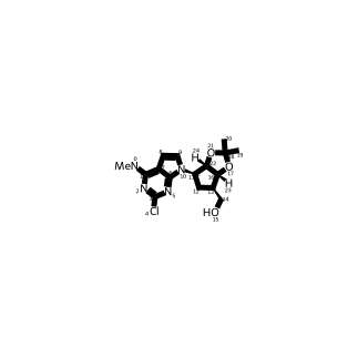 CNc1nc(Cl)nc2c1ccn2[C@@H]1C[C@H](CO)[C@H]2OC(C)(C)O[C@H]21